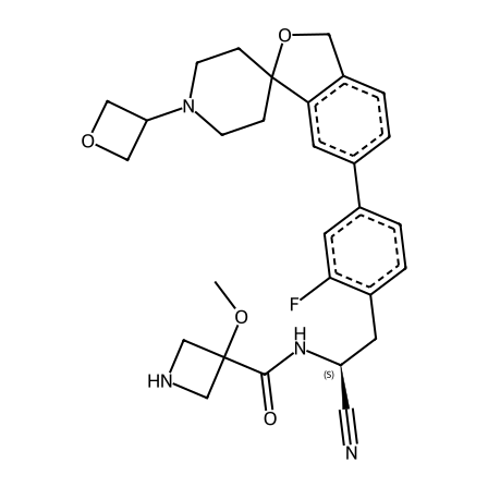 COC1(C(=O)N[C@H](C#N)Cc2ccc(-c3ccc4c(c3)C3(CCN(C5COC5)CC3)OC4)cc2F)CNC1